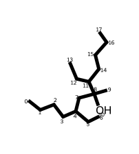 CCCCC(CC)CC(C)(O)C(CC)CCCC